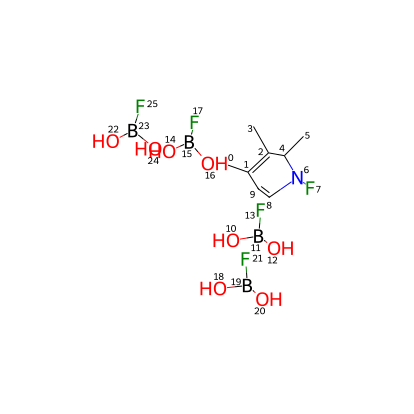 CC1=C(C)C(C)N(F)C=C1.OB(O)F.OB(O)F.OB(O)F.OB(O)F